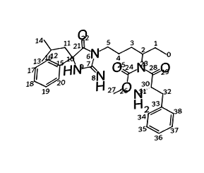 CCC(CCCN1C(=N)NC(CC(C)C)(c2ccccc2)C1=O)N(C(=O)OC)C(=O)[C@@H](N)Cc1ccccc1